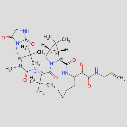 C=CCNC(=O)C(=O)C(CC1CC1)NC(=O)[C@@H]1[C@@H]2[C@H](CN1C(=O)[C@@H](NC(=O)N(C)[C@H](CN1C(=O)CNC1=O)C(C)(C)C)C(C)(C)C)C2(C)C